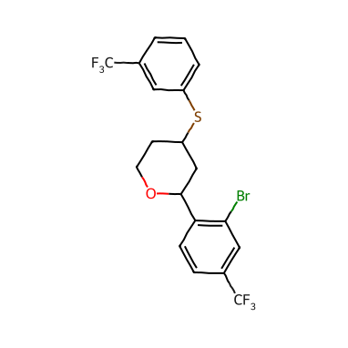 FC(F)(F)c1cccc(SC2CCOC(c3ccc(C(F)(F)F)cc3Br)C2)c1